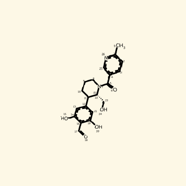 Cc1ccc(C(=O)N2CCCC(c3cc(O)c(C=O)c(O)c3)[C@H]2CO)cn1